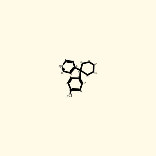 Clc1ccc(C2(c3ccncc3)CCCCC2)cc1